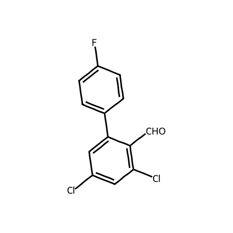 O=Cc1c(Cl)cc(Cl)cc1-c1ccc(F)cc1